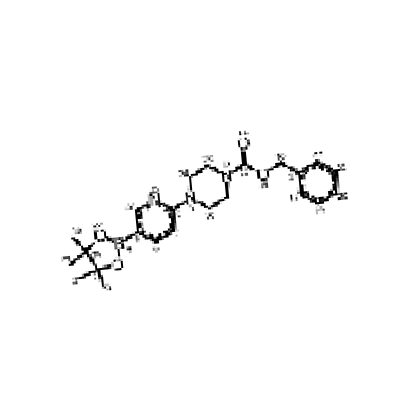 CC1(C)OB(c2ccc(N3CCN(C(=O)OCc4ccccc4)CC3)nc2)OC1(C)C